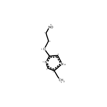 Cc1cnc(OCCN=O)cn1